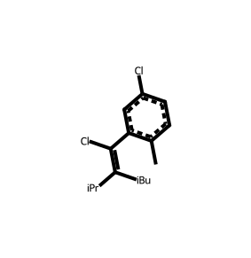 CCC(C)/C(=C(/Cl)c1cc(Cl)ccc1C)C(C)C